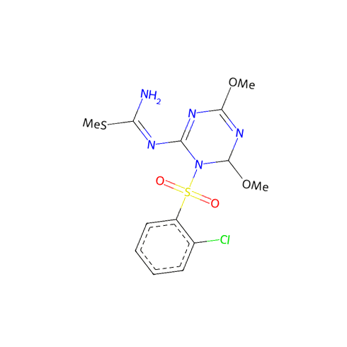 COC1=NC(OC)N(S(=O)(=O)c2ccccc2Cl)C(N=C(N)SC)=N1